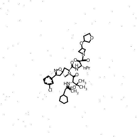 C=C(CC1CCCCC1)N[C@H](C(=O)N1C[C@@]2(CC(c3cccc(Cl)c3)=NO2)C[C@H]1C(=O)N[C@@H](CCC)C(=O)C(=O)N1CC(OC2CCOC2)C1)C(C)(C)OC